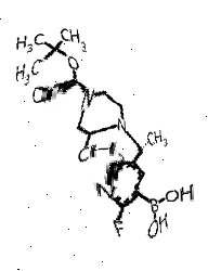 CC1CN(C(=O)OC(C)(C)C)CCN1[C@H](C)c1cnc(F)c(B(O)O)c1